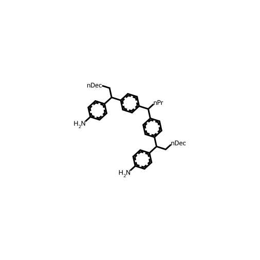 CCCCCCCCCCCC(c1ccc(N)cc1)c1ccc(C(CCC)c2ccc(C(CCCCCCCCCCC)c3ccc(N)cc3)cc2)cc1